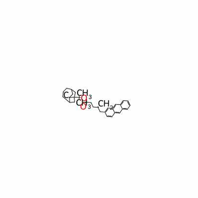 C=C(CCC(=O)OC(C)(C)C12CC3CC4CC(C1)C2(C4)C3)Cc1ccc2cc3ccccc3cc2c1